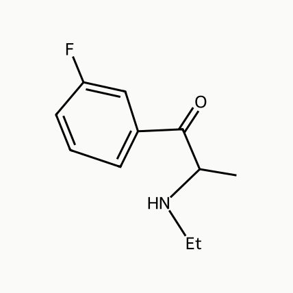 CCNC(C)C(=O)c1cccc(F)c1